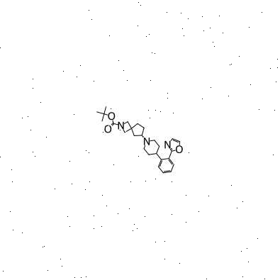 CC(C)(C)OC(=O)N1CC2(CC[C@@H](N3CCC(c4ccccc4-c4ncco4)CC3)C2)C1